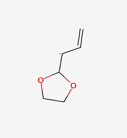 C=C[CH]C1OCCO1